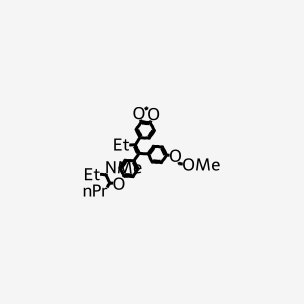 CCCC(Oc1ccc(C(=C(CC)c2ccc3c(c2)OCO3)c2ccc(OCOC)cc2)cc1)C(CC)NC